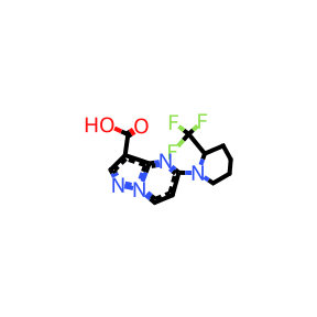 O=C(O)c1cnn2ccc(N3CCCCC3C(F)(F)F)nc12